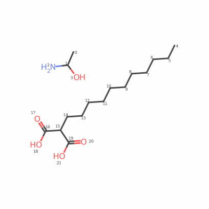 CC(N)O.CCCCCCCCCCCC(C(=O)O)C(=O)O